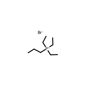 CCC[P+](CC)(CC)CC.[Br-]